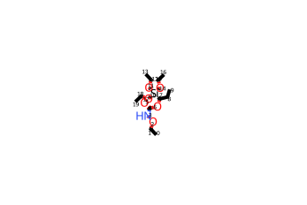 CCONC(=O)OC(CC)[Si](OCC)(OCC)OCC